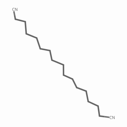 N#CCCCCCCCCCCCCCCCC#N